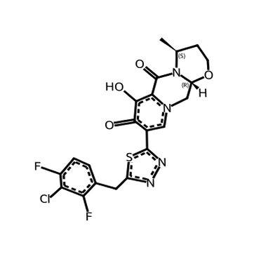 C[C@H]1CCO[C@@H]2Cn3cc(-c4nnc(Cc5ccc(F)c(Cl)c5F)s4)c(=O)c(O)c3C(=O)N12